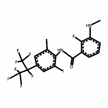 CNc1cccc(C(=O)Nc2c(C)cc(C(F)(C(F)(F)F)C(F)(F)F)cc2I)c1F